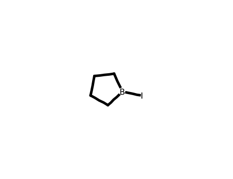 IB1CCCC1